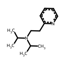 CC(C)N(CCc1ccccn1)C(C)C